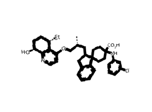 CC[C@H]1CC[C@H](O)c2nccc(OC[C@H](C)CC3Cc4ccccc4C34CCC(Nc3cccc(Cl)c3)(C(=O)O)CC4)c21